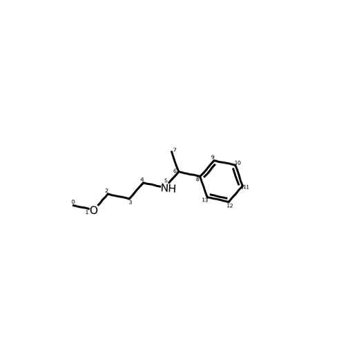 COCCCNC(C)c1cc[c]cc1